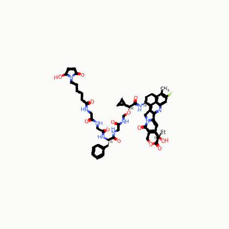 CC[C@@]1(O)C(=O)OCc2c1cc1n(c2=O)Cc2c-1nc1cc(F)c(C)c3c1c2[C@@H](NC(=O)[C@H](OCNC(=O)CNC(=O)[C@H](Cc1ccccc1)NC(=O)CNC(=O)CNC(=O)CCCCCN1C(=O)C=CC1O)C1CC1)CC3